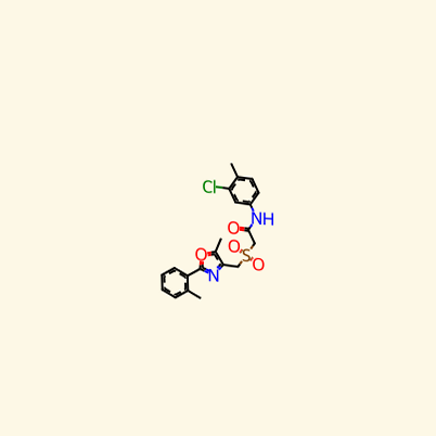 Cc1ccc(NC(=O)CS(=O)(=O)Cc2nc(-c3ccccc3C)oc2C)cc1Cl